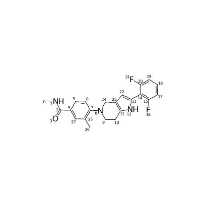 CNC(=O)c1ccc(N2CCc3[nH]c(-c4c(F)cccc4F)cc3C2)c(C)c1